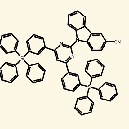 N#Cc1ccc2c(c1)c1ccccc1n2-c1nc(-c2cccc([Si](c3ccccc3)(c3ccccc3)c3ccccc3)c2)cc(-c2cccc([Si](c3ccccc3)(c3ccccc3)c3ccccc3)c2)n1